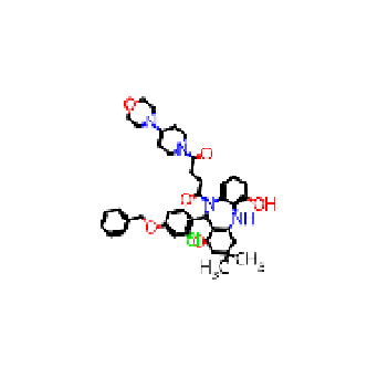 CC1(C)CC(=O)C2=C(C1)NC1=C(O)CCC=C1N(C(=O)CCC(=O)N1CCC(N3CCOCC3)CC1)C2c1ccc(OCc2ccccc2)cc1Cl